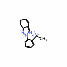 C[C@H](N)c1ccccc1-n1cc2ccccc2n1